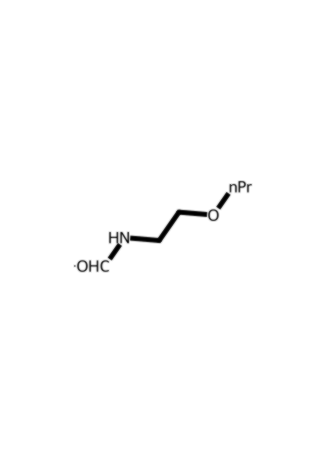 CCCOCCN[C]=O